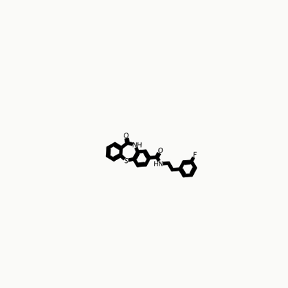 O=C(NCCc1cccc(F)c1)c1ccc2c(c1)NC(=O)c1ccccc1S2